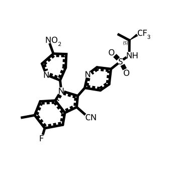 Cc1cc2c(cc1F)c(C#N)c(-c1ccc(S(=O)(=O)N[C@@H](C)C(F)(F)F)cn1)n2-c1ccc([N+](=O)[O-])cn1